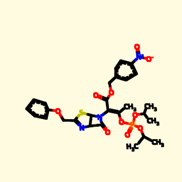 CC(OP(=O)(OC(C)C)OC(C)C)=C(C(=O)OCc1ccc([N+](=O)[O-])cc1)N1C(=O)C2N=C(COc3ccccc3)SC21